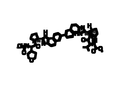 COC(=O)NC(C(=O)N1CCC[C@H]1c1nc2ccc3cc(-c4ccc5c(ccc6nc([C@@H]7[C@@H]8CC[C@@H](C8)N7C(=O)[C@@H](NC(=O)OC)C(C)C)[nH]c65)c4)ccc3c2[nH]1)C1CCOCC1